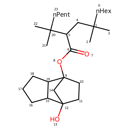 CCCCCCC(C)(C)CC(C(=O)OC12CCC(O)(C1)C1CCCC12)C(C)(C)CCCCC